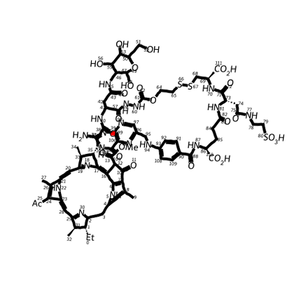 CC[C@H]1C2Cc3[nH]c4c(c3C)C(=O)C(C(=O)OC)/C4=C3N=C(/C=c4\[nH]/c(c(C(C)=O)c4C)=C\C(=N2)[C@@H]1C)[C@@H](C)[C@@H]/3CCC(=O)NC(CC(=O)NC1C(O)OC(CO)C(O)C1O)C(=O)NNC(=O)OCCSSC[C@H](NC(=O)[C@H](CC(=O)NCCS(=O)(=O)O)NC(=O)CC[C@H](NC(=O)c1ccc(NCc2cnc3nc(N)[nH]c(=O)c3n2)cc1)C(=O)O)C(=O)O